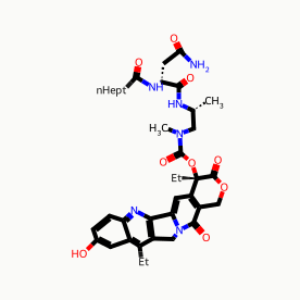 CCCCCCCC(=O)N[C@H](CC(N)=O)C(=O)N[C@H](C)CN(C)C(=O)O[C@]1(CC)C(=O)OCc2c1cc1n(c2=O)Cc2c-1nc1ccc(O)cc1c2CC